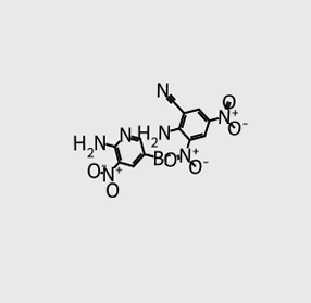 N#Cc1cc([N+](=O)[O-])cc([N+](=O)[O-])c1N.Nc1ncc(Br)cc1[N+](=O)[O-]